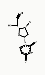 C#CC(O)[C@H]1O[C@@H](n2ccc(=O)[nH]c2=O)C[C@@H]1O